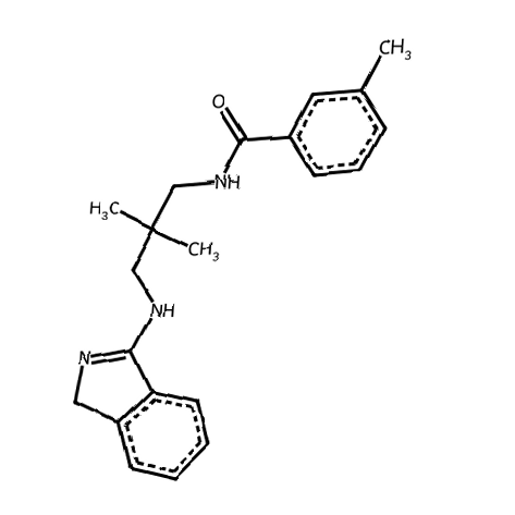 Cc1cccc(C(=O)NCC(C)(C)CNC2=NCc3ccccc32)c1